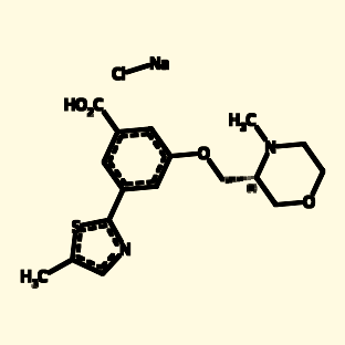 Cc1cnc(-c2cc(OC[C@H]3COCCN3C)cc(C(=O)O)c2)s1.[Na][Cl]